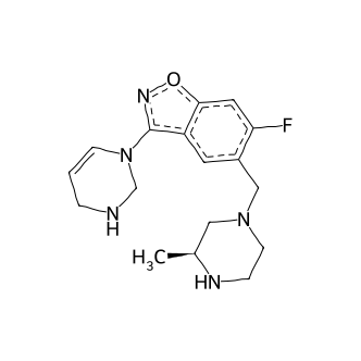 C[C@H]1CN(Cc2cc3c(N4C=CCNC4)noc3cc2F)CCN1